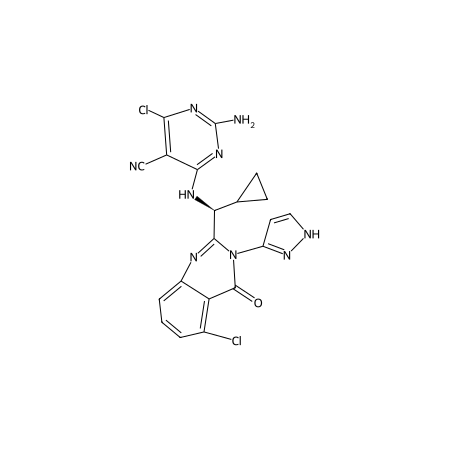 N#Cc1c(Cl)nc(N)nc1N[C@H](c1nc2cccc(Cl)c2c(=O)n1-c1cc[nH]n1)C1CC1